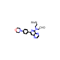 CNCCN(CC=O)c1nc(-c2ccc(N3CCOCC3)cc2)cc2nccnc12